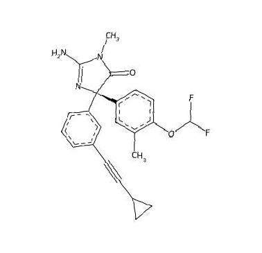 Cc1cc([C@@]2(c3cccc(C#CC4CC4)c3)N=C(N)N(C)C2=O)ccc1OC(F)F